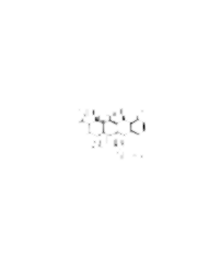 CCCCCCSC[C@H]1c2cccc(O)c2C(=O)C2=C(O)[C@]3(O)C(=O)C(C(N)=O)C(O)[C@@H](N(C)C)[C@@H]3[C@@H](O)[C@@H]21